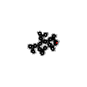 c1ccc(-n2c3ccccc3c3ccc(N(c4ccc(N(c5ccc6c7ccccc7n(-c7ccccc7)c6c5)c5ccc6c7ccccc7n(-c7ccccc7)c6c5)cc4)c4ccc(N(c5ccc6c7ccccc7n(-c7ccccc7)c6c5)c5ccc6c7ccccc7n(-c7ccccc7)c6c5)cc4)cc32)cc1